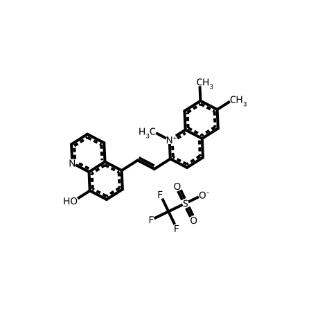 Cc1cc2ccc(C=Cc3ccc(O)c4ncccc34)[n+](C)c2cc1C.O=S(=O)([O-])C(F)(F)F